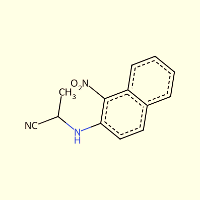 CC(C#N)Nc1ccc2ccccc2c1[N+](=O)[O-]